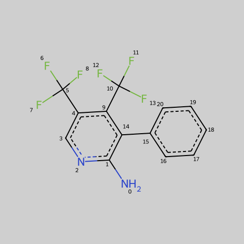 Nc1ncc(C(F)(F)F)c(C(F)(F)F)c1-c1ccccc1